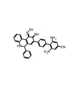 N#Cc1cc(N)c(-c2ccc(C3=CC4=C(/C(=N/S)C3=N)c3ccccc3NC4c3ccccc3)cc2)c(N)c1